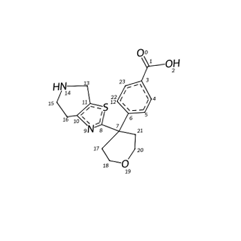 O=C(O)c1ccc(C2(c3nc4c(s3)CNCC4)CCOCC2)cc1